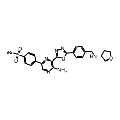 CCC(C)S(=O)(=O)c1ccc(-c2cnc(N)c(-c3nnc(-c4ccc(CN[C@@H]5CCOC5)cc4)o3)n2)cc1